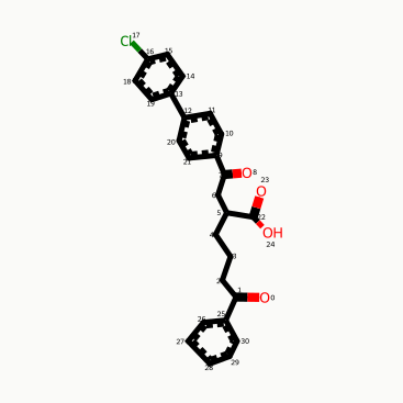 O=C(CCCC(CC(=O)c1ccc(-c2ccc(Cl)cc2)cc1)C(=O)O)c1ccccc1